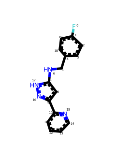 Fc1ccc(CNc2cc(-c3ccccn3)n[nH]2)cc1